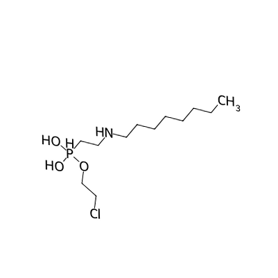 CCCCCCCCNCC[PH](O)(O)OCCCl